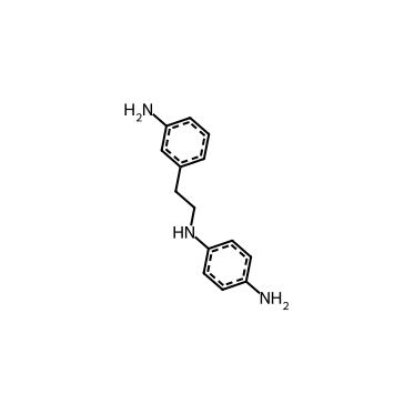 Nc1ccc(NCCc2cccc(N)c2)cc1